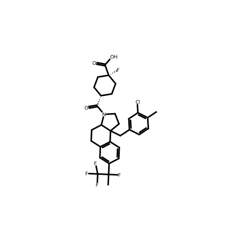 Cc1ccc(CC23CCN(C(=O)[C@H]4CC[C@](F)(C(=O)O)CC4)C2CCc2cc(C(C)(F)C(F)(F)F)ccc23)cc1Cl